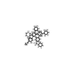 CC1(C)c2ccccc2-c2cc(-c3nc(-c4ccccc4)nc(-c4ccccc4-c4ccc5c(c4)C4(CCCCC4)c4cc(C#N)ccc4-5)n3)ccc21